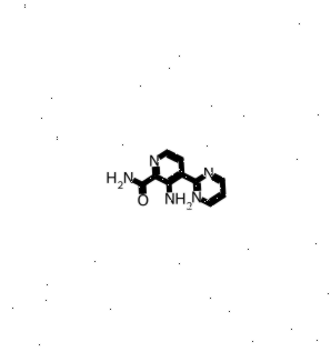 NC(=O)c1nccc(-c2ncccn2)c1N